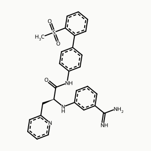 CS(=O)(=O)c1ccccc1-c1ccc(NC(=O)[C@H](Cc2ccccn2)Nc2cccc(C(=N)N)c2)cc1